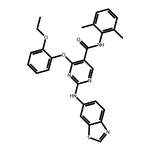 CCOc1ccccc1Oc1nc(Nc2ccc3ncsc3c2)ncc1C(=O)Nc1c(C)cccc1C